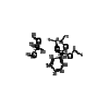 CCO[Si](OCC)(OCC)c1ccccc1.CO[Si](C)(C)OC